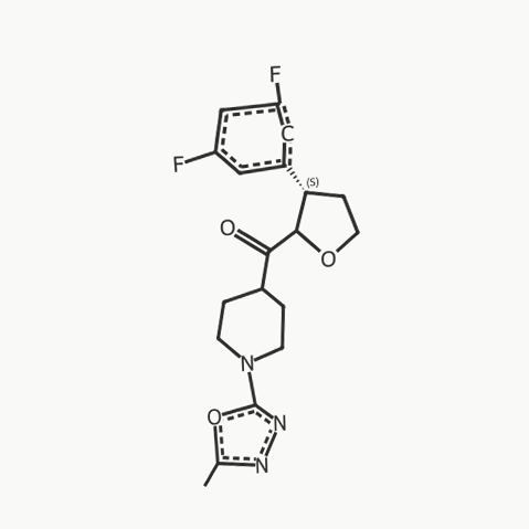 Cc1nnc(N2CCC(C(=O)C3OCC[C@H]3c3cc(F)cc(F)c3)CC2)o1